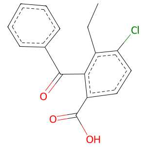 CCc1c(Cl)ccc(C(=O)O)c1C(=O)c1ccccc1